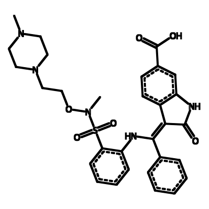 CN1CCN(CCON(C)S(=O)(=O)c2ccccc2NC(=C2C(=O)Nc3cc(C(=O)O)ccc32)c2ccccc2)CC1